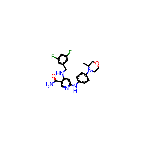 CC1COCCN1c1ccc(Nc2cc(NCc3cc(F)cc(F)c3)c(C(N)=O)cn2)cc1